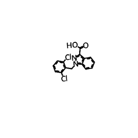 O=C(O)c1nn(Cc2c(Cl)cccc2Cl)c2ccccc12